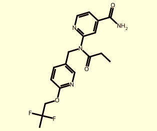 CCC(=O)N(Cc1ccc(OCC(C)(F)F)nc1)c1cc(C(N)=O)ccn1